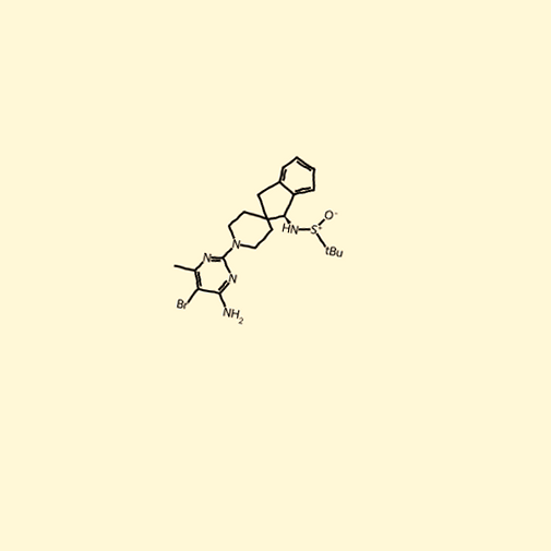 Cc1nc(N2CCC3(CC2)Cc2ccccc2[C@H]3N[S+]([O-])C(C)(C)C)nc(N)c1Br